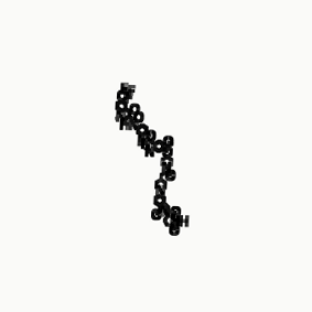 COc1cc2c(Oc3ccc(NC(=O)c4c(C)n(C)c5ccc(OC(F)(F)F)cc5c4=O)cc3F)ncnc2cc1OC1CCN(C(=O)CC2CCN(c3ccc4c(c3)CN(C3CCC(=O)NC3=O)C4=O)CC2)CC1